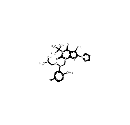 COc1ccc(F)cc1[C@H](Cn1c(=O)n(C(C)(C)C(=O)O)c(=O)c2c(C)c(-n3cccn3)sc21)OC[C@@H](C)O